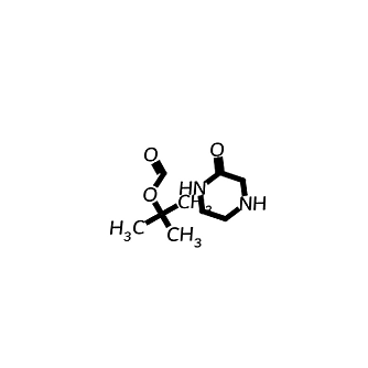 CC(C)(C)OC=O.O=C1CNCCN1